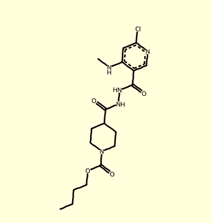 CCCCOC(=O)N1CCC(C(=O)NNC(=O)c2cnc(Cl)cc2NC)CC1